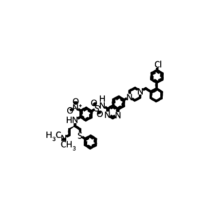 CN(C)CC[C@H](CSc1ccccc1)Nc1ccc(S(=O)(=O)Nc2ncnc3cc(N4CCN(CC5=C(c6ccc(Cl)cc6)CCCC5)CC4)ccc23)cc1[N+](=O)[O-]